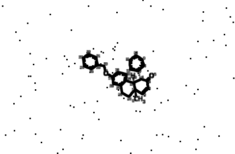 C[C@]12C=CC(=O)[C@@H](c3ccccc3)[C@@H]1c1ccc(OCc3ccccc3)cc1CC2